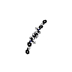 N#C/C(=C\c1ccc(OCc2ccccc2)cc1)C(=O)OC1CO[C@H]2[C@@H]1OC[C@H]2OC(=O)/C(C#N)=C/c1ccc(OCc2ccccc2)cc1